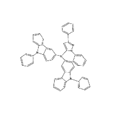 c1ccc(-c2cc(N(c3ccc4c(c3)c3ccccc3n4-c3ccccc3)c3ccc4c(c3)c3ccccc3n4-c3ccccc3)n(-c3ccccc3)n2)cc1